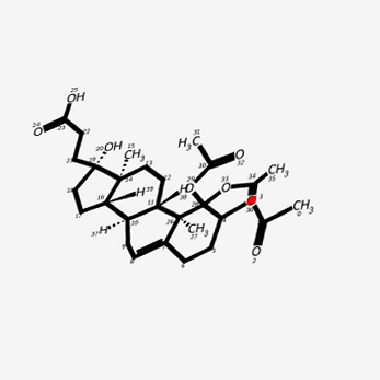 CC(=O)OC1CCC2=CC[C@@H]3[C@H](CC[C@@]4(C)[C@H]3CC[C@@]4(O)CCC(=O)O)[C@@]2(C)C1(OC(C)=O)OC(C)=O